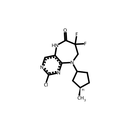 C[C@@H]1CCC(N2CC(F)(F)C(=O)Nc3cnc(Cl)nc32)C1